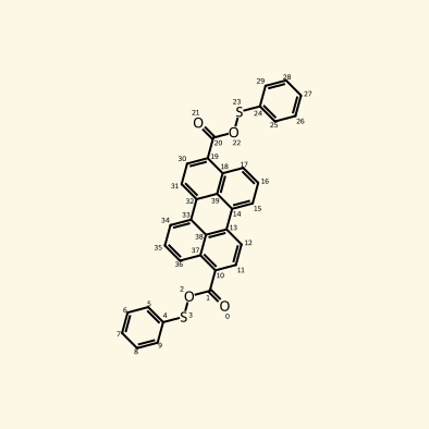 O=C(OSc1ccccc1)c1ccc2c3cccc4c(C(=O)OSc5ccccc5)ccc(c5cccc1c52)c43